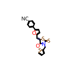 N#Cc1ccc(-c2ccc(/C=C3\SC(=S)N(Cc4cccs4)C3=O)o2)cc1